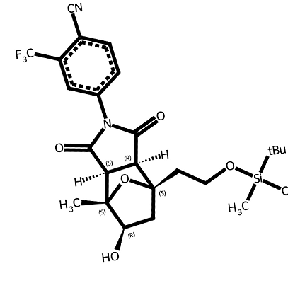 CC(C)(C)[Si](C)(C)OCC[C@@]12C[C@@H](O)[C@@](C)(O1)[C@H]1C(=O)N(c3ccc(C#N)c(C(F)(F)F)c3)C(=O)[C@H]12